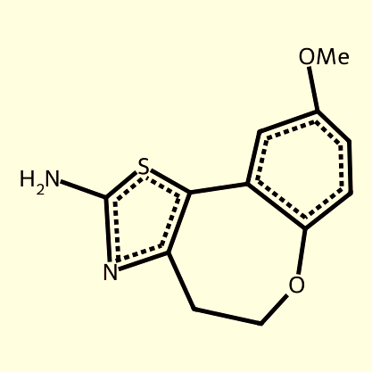 COc1ccc2c(c1)-c1sc(N)nc1CCO2